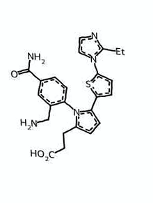 CCc1nccn1-c1ccc(-c2ccc(CCC(=O)O)n2-c2ccc(C(N)=O)cc2CN)s1